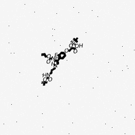 C=CCOC(=O)Nc1nn(CCCNC(=O)OC(C)(C)C)cc1-c1ccc(OCC(O[Si](C)(C)C(C)(C)C)C(=O)O)cc1F